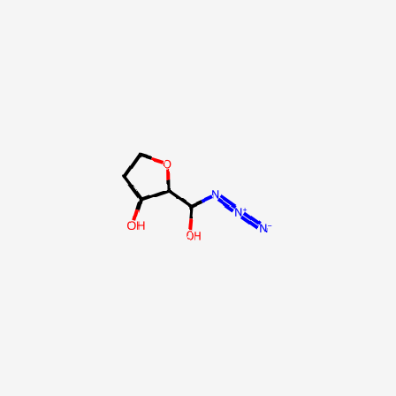 [N-]=[N+]=NC(O)C1OCCC1O